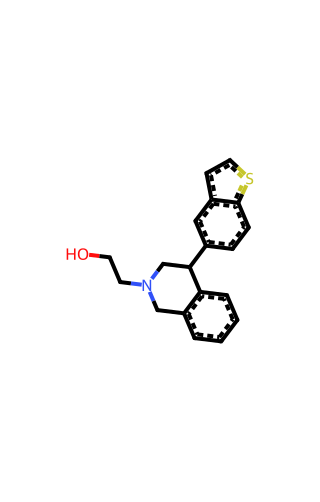 OCCN1Cc2ccccc2C(c2ccc3sccc3c2)C1